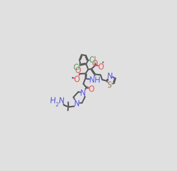 COC(=O)C1=C(CCc2nccs2)NC(CC(=O)N2CCN(CC(C)(C)CN)CC2)=C(C(=O)OC)C1c1c(Cl)cccc1Cl